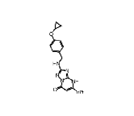 CCCc1cc(=O)n2nc(NCc3ccc(OC4CC4)cc3)nc2[nH]1